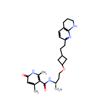 Cc1cc(=O)[nH]c(C)c1C(=O)N[C@@H](CCOC1CC(CCc2ccc3c(n2)NCCC3)C1)C(=O)O